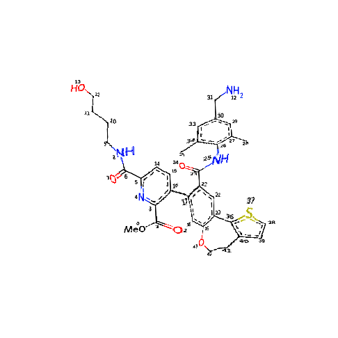 COC(=O)c1nc(C(=O)NCCCCO)ccc1-c1cc2c(cc1C(=O)Nc1c(C)cc(CN)cc1C)-c1sccc1CCO2